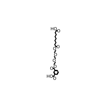 O=C(O)CCCCCCCC(=O)OCCOCCOCCOC(=O)c1cccc(C(=O)O)c1